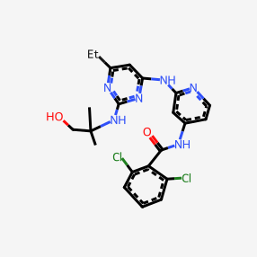 CCc1cc(Nc2cc(NC(=O)c3c(Cl)cccc3Cl)ccn2)nc(NC(C)(C)CO)n1